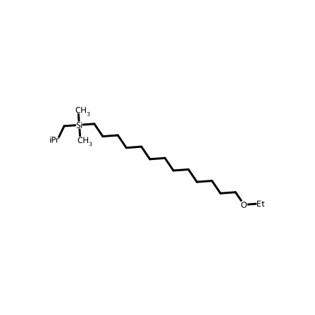 CCOCCCCCCCCCCCCC[Si](C)(C)CC(C)C